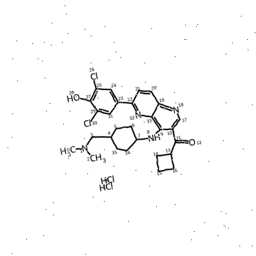 CN(C)CC1CCC(Nc2c(C(=O)C3CCC3)cnc3ccc(-c4cc(Cl)c(O)c(Cl)c4)nc23)CC1.Cl.Cl